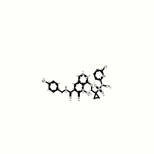 CN(c1cccc(Cl)n1)S(=O)(=O)C1(COc2nncc3cc(C(=O)NCc4ccc(C#N)cc4)c(=O)n(C)c23)CC1